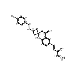 O=C(C=Cc1ccc2c(c1)C(=O)CC1(CN(CCc3ccc(F)cc3)C1)O2)NO